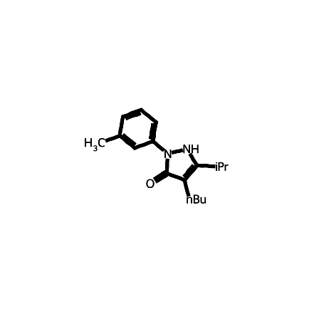 CCCCc1c(C(C)C)[nH]n(-c2cccc(C)c2)c1=O